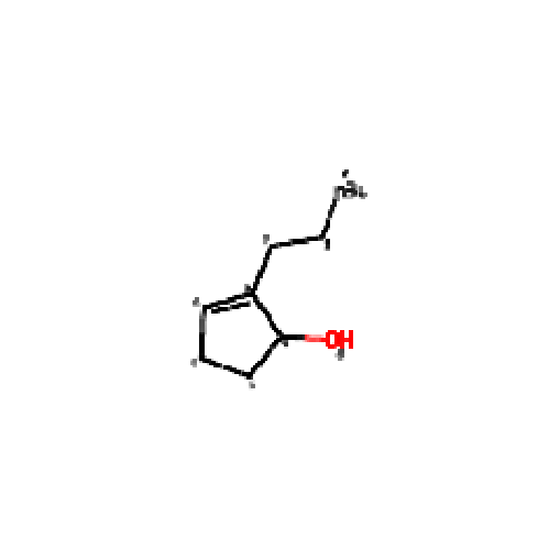 CCCCCCC1=CCCC1O